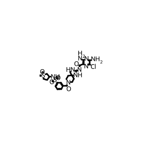 C=S1(=O)CCC(NS(=O)(=O)c2cccc(C(=O)N3CCC4(CC3)CN/C(=N\C(=O)c3nc(Cl)c(N)nc3N)N4)c2)C1